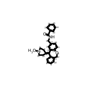 CN1CCC(=C2c3ccccc3COc3ccc(CNC(=O)c4ccccc4)cc32)CC1